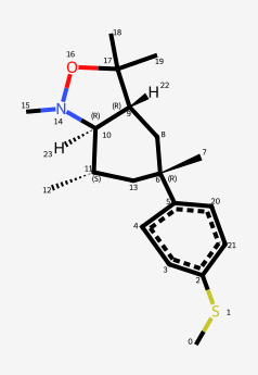 CSc1ccc([C@@]2(C)C[C@@H]3[C@@H]([C@@H](C)C2)N(C)OC3(C)C)cc1